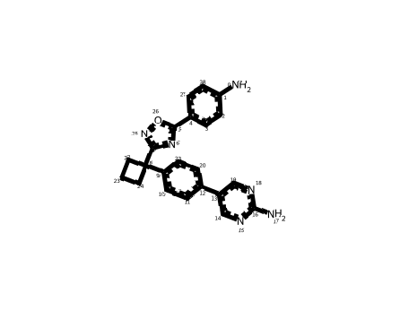 Nc1ccc(-c2nc(C3(c4ccc(-c5cnc(N)nc5)cc4)CCC3)no2)cc1